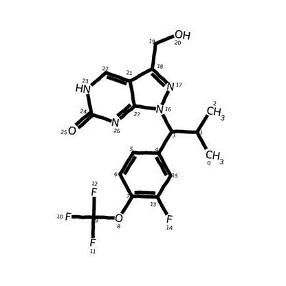 CC(C)C(c1ccc(OC(F)(F)F)c(F)c1)n1nc(CO)c2c[nH]c(=O)nc21